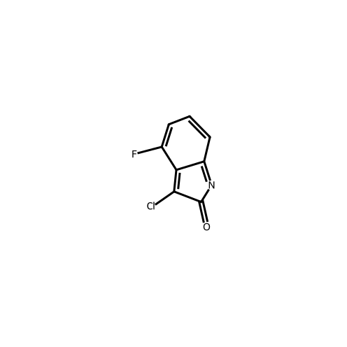 O=C1N=c2cccc(F)c2=C1Cl